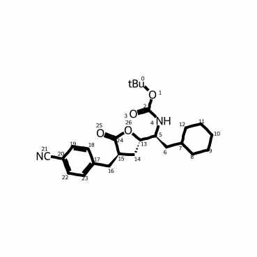 CC(C)(C)OC(=O)N[C@@H](CC1CCCCC1)[C@@H]1C[C@@H](Cc2ccc(C#N)cc2)C(=O)O1